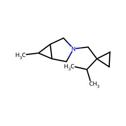 CC1C2CN(CC3(C(C)C)CC3)CC12